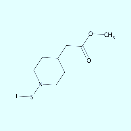 COC(=O)CC1CCN(SI)CC1